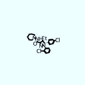 CC[C@@H]1C(C(=O)NN2CCCCCC2)=NN(c2ccccc2Cl)[C@H]1c1ccc(Cl)cc1